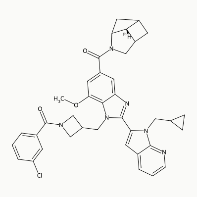 COc1cc(C(=O)N2CC3CC4CC2[C@H]43)cc2nc(-c3cc4cccnc4n3CC3CC3)n(CC3CN(C(=O)c4cccc(Cl)c4)C3)c12